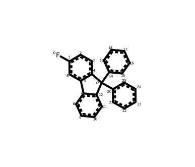 Fc1ccc2c(c1)-c1ccccc1C2(c1ccccc1)c1ccccc1